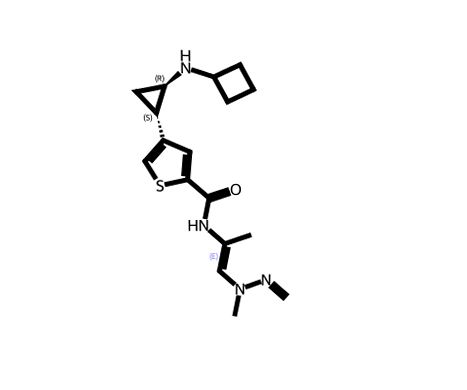 C=NN(C)/C=C(\C)NC(=O)c1cc([C@@H]2C[C@H]2NC2CCC2)cs1